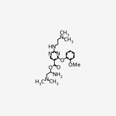 COc1ccccc1Oc1nc(NCCN(C)C)ncc1C(=O)OC(N)CN(C)C